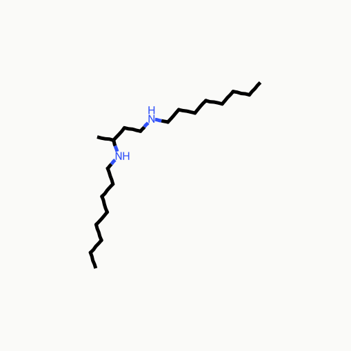 CCCCCCCCNCCC(C)NCCCCCCCC